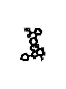 O=C(O)c1ccccc1-c1ccc(Cn2c(C3CCCCC3)nc3c(F)nnc(O)c32)cc1